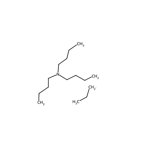 CCCCN(CCCC)CCCC.[CH2]CC